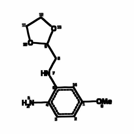 COc1ccc(N)c(NCC2OCCO2)c1